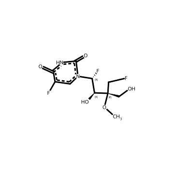 CO[C@@](CO)(CF)[C@@H](O)[C@@H](F)n1cc(F)c(=O)[nH]c1=O